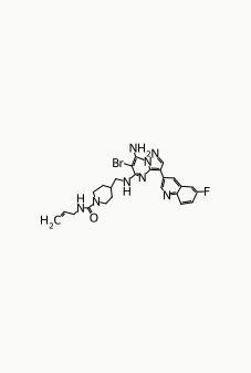 C=CCNC(=O)N1CCC(CNc2nc3c(-c4cnc5ccc(F)cc5c4)cnn3c(N)c2Br)CC1